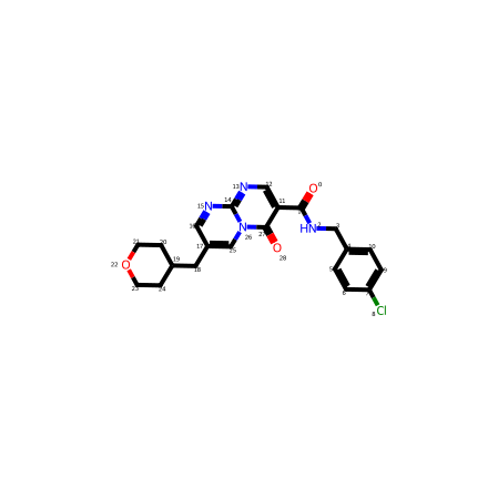 O=C(NCc1ccc(Cl)cc1)c1cnc2ncc(CC3CCOCC3)cn2c1=O